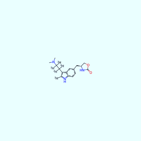 [2H]c1[nH]c2ccc(C[C@H]3COC(=O)N3)cc2c1C([2H])([2H])C([2H])([2H])N(C)C